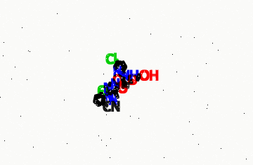 N#Cc1cccc(Cl)c1-n1ncc2c(O[C@@H](COCCO)C(=O)Nc3ccc(Cl)cn3)ncnc21